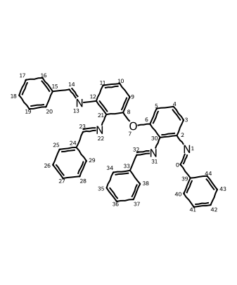 C(=Nc1cccc(Oc2cccc(N=Cc3ccccc3)c2N=Cc2ccccc2)c1N=Cc1ccccc1)c1ccccc1